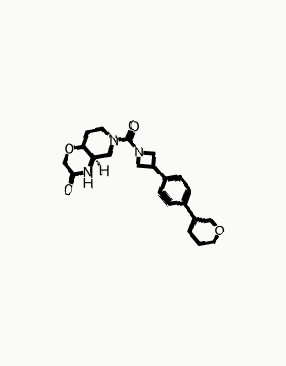 O=C1COC2CCN(C(=O)N3CC(c4ccc(C5CCCOC5)cc4)C3)C[C@H]2N1